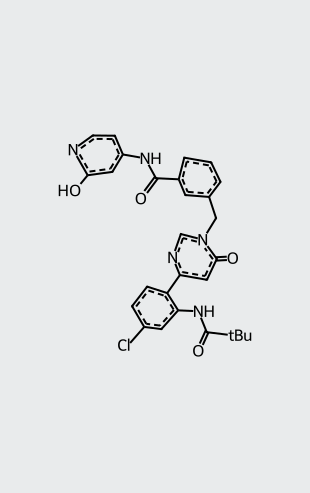 CC(C)(C)C(=O)Nc1cc(Cl)ccc1-c1cc(=O)n(Cc2cccc(C(=O)Nc3ccnc(O)c3)c2)cn1